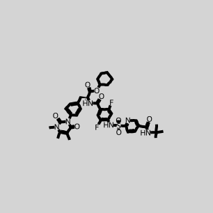 Cc1c(C)n(C)c(=O)n(-c2ccc(C[C@H](NC(=O)c3cc(F)c(NS(=O)(=O)c4ccc(C(=O)NC(C)(C)C)cn4)cc3F)C(=O)OC3CCCCC3)cc2)c1=O